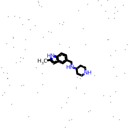 Cc1cc2cc(CNC3CCNCC3)ccc2[nH]1